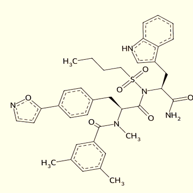 CCCCS(=O)(=O)N(C(=O)[C@H](Cc1ccc(-c2ccno2)cc1)N(C)C(=O)c1cc(C)cc(C)c1)[C@@H](Cc1c[nH]c2ccccc12)C(N)=O